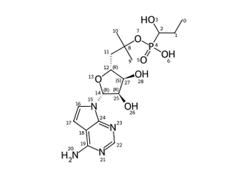 CCC(O)P(=O)(O)OC(C)(C)C[C@H]1O[C@@H](n2ccc3c(N)ncnc32)[C@H](O)[C@@H]1O